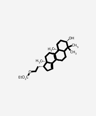 CCOC(=O)OCC[C@H]1CC=C2C3=C(CC[C@@]21C)[C@@]1(C)CC[C@H](O)C(C)(C)C1CC3